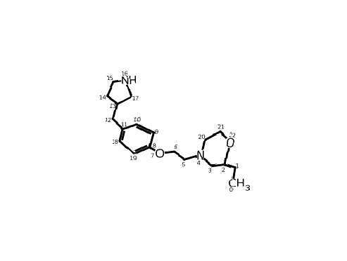 CCC1CN(CCOc2ccc(CC3CCNC3)cc2)CCO1